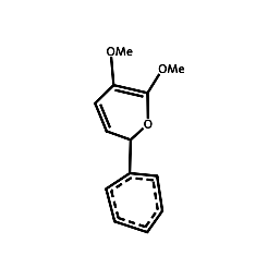 COC1=C(OC)OC(c2ccccc2)C=C1